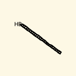 B1C2C1C1C2C2C1C1C2C2C1C1C2C2C1C1C2C2C1C1C2C2C1C1C2C2C3C4C5C6C7C8C9C%10C%11C%12C%13CCC%13C%12C%11C%10C9C8C7C6C5C4C3C12